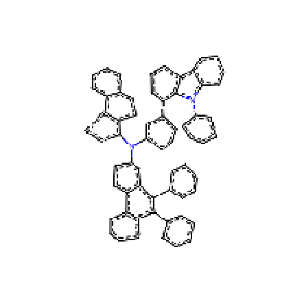 c1ccc(-c2c(-c3ccccc3)c3cc(N(c4cccc(-c5cccc6c7ccccc7n(-c7ccccc7)c56)c4)c4cccc5c4ccc4ccccc45)ccc3c3ccccc23)cc1